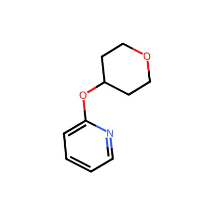 c1ccc(OC2CCOCC2)nc1